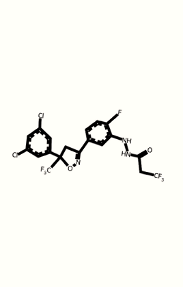 O=C(CC(F)(F)F)NNc1cc(C2=NOC(c3cc(Cl)cc(Cl)c3)(C(F)(F)F)C2)ccc1F